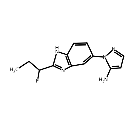 CCC(F)c1nc2cc(-n3nc[c]c3N)ccc2[nH]1